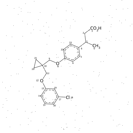 CC(CC(=O)O)c1ccc(OCC2(COc3cccc(Cl)c3)CC2)cc1